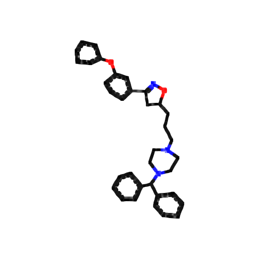 c1ccc(Oc2cccc(C3=NOC(CCCN4CCN(C(c5ccccc5)c5ccccc5)CC4)C3)c2)cc1